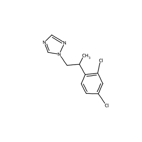 CC(Cn1cncn1)c1ccc(Cl)cc1Cl